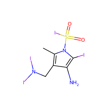 Cc1c(CN(I)I)c(N)c(I)n1S(=O)(=O)I